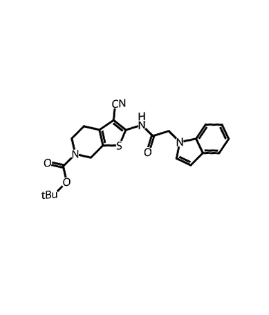 CC(C)(C)OC(=O)N1CCc2c(sc(NC(=O)Cn3ccc4ccccc43)c2C#N)C1